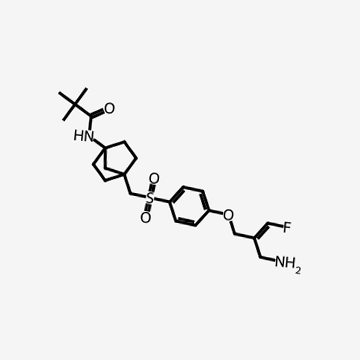 CC(C)(C)C(=O)NC12CCC(CS(=O)(=O)c3ccc(OCC(=CF)CN)cc3)(CC1)C2